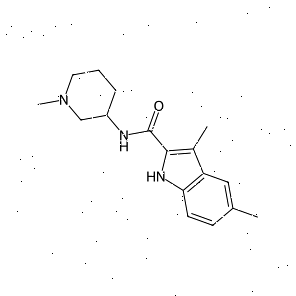 Cc1ccc2[nH]c(C(=O)NC3CCCN(C)C3)c(C)c2c1